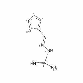 N=C(N)NN=Cc1cccs1